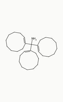 NC(C1=CCCCCCCCC1)(C1=CCCCCCCCC1)C1=CCCCCCCCC1